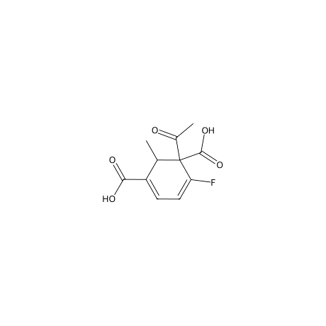 CC(=O)C1(C(=O)O)C(F)=CC=C(C(=O)O)C1C